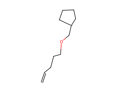 C=CCCCOC[C]1CCCC1